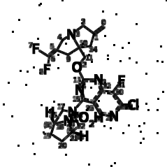 C=C1CN2CC(=C(F)F)CC2(COc2nc(N3C[C@H]4CC[C@@H](C3)N4C(=O)O)c3cnc(Cl)c(F)c3n2)C1